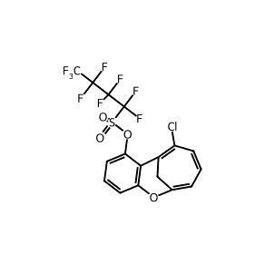 O=S(=O)(Oc1cccc2c1C1=C(Cl)C=CC=C(C1)O2)C(F)(F)C(F)(F)C(F)(F)C(F)(F)F